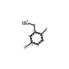 Cc1ccc(F)cc1CC(C)(C)C